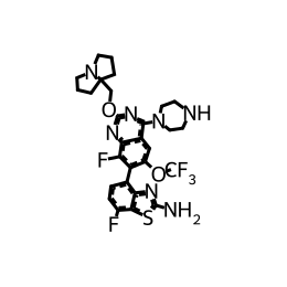 Nc1nc2c(-c3c(OC(F)(F)F)cc4c(N5CCNCC5)nc(OCC56CCCN5CCC6)nc4c3F)ccc(F)c2s1